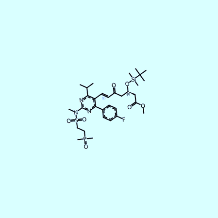 COC(=O)C[C@@H](CC(=O)/C=C/c1c(-c2ccc(F)cc2)nc(N(C)S(=O)(=O)CCP(C)(C)=O)nc1C(C)C)O[Si](C)(C)C(C)(C)C